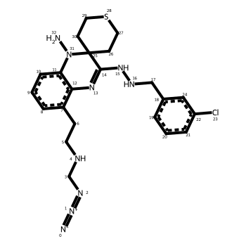 [N-]=[N+]=NCNCCc1cccc2c1N=C(NNCc1cccc(Cl)c1)C1(CCSCC1)N2N